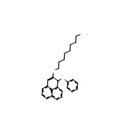 CCCCCCCCCCCCCCCCCCOC1=Cc2cccc3cccc(c23)C1Sc1ccccc1